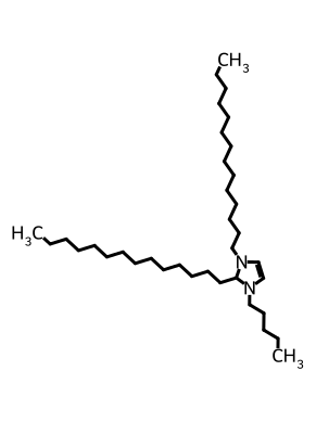 CCCCCCCCCCCCCCC1N(CCCCC)C=CN1CCCCCCCCCCCCCC